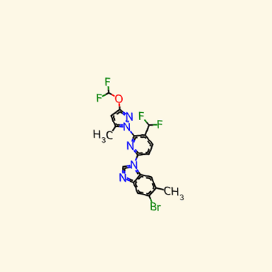 Cc1cc2c(cc1Br)ncn2-c1ccc(C(F)F)c(-n2nc(OC(F)F)cc2C)n1